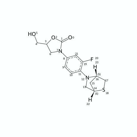 O=C1OC(CO)CN1c1ccc(N2C[C@@H]3C[C@H]2CS3)c(F)c1